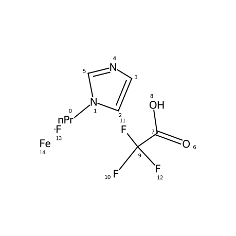 CCCn1ccnc1.O=C(O)C(F)(F)F.[F].[Fe]